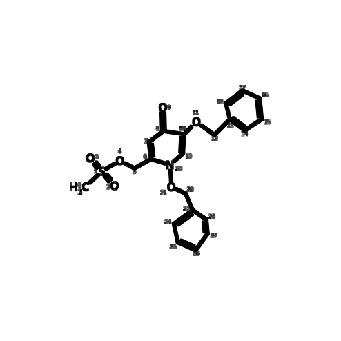 CS(=O)(=O)OCc1cc(=O)c(OCc2ccccc2)cn1OCc1ccccc1